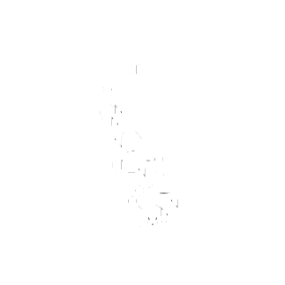 COC(=O)c1nn(C)cc1S(=O)(=O)NC(=O)c1ccc(-n2ccc(OCC(C)(C)C(F)(F)F)n2)nc1Cl